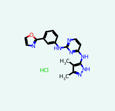 Cc1n[nH]c(Nc2ccnc(Nc3cccc(-c4ncco4)c3)n2)c1C.Cl